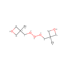 CCC1(COOOCC2(CC)COC2)COC1